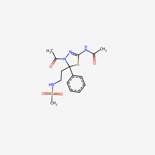 CC(=O)NC1=NN(C(C)=O)C(CCNS(C)(=O)=O)(c2ccccc2)S1